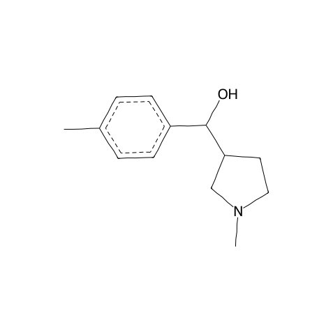 Cc1ccc(C(O)C2CCN(C)C2)cc1